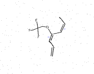 C=C/C=C(\C=C/C)OC(F)(F)F